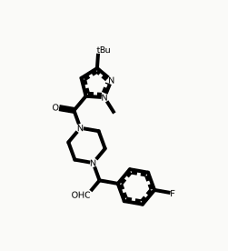 Cn1nc(C(C)(C)C)cc1C(=O)N1CCN(C(C=O)c2ccc(F)cc2)CC1